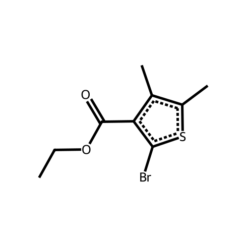 CCOC(=O)c1c(Br)sc(C)c1C